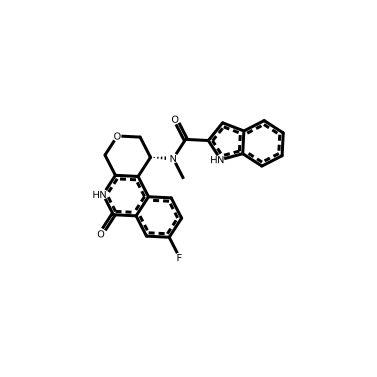 CN(C(=O)c1cc2ccccc2[nH]1)[C@H]1COCc2[nH]c(=O)c3cc(F)ccc3c21